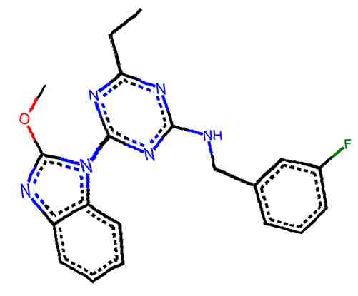 CCc1nc(NCc2cccc(F)c2)nc(-n2c(OC)nc3ccccc32)n1